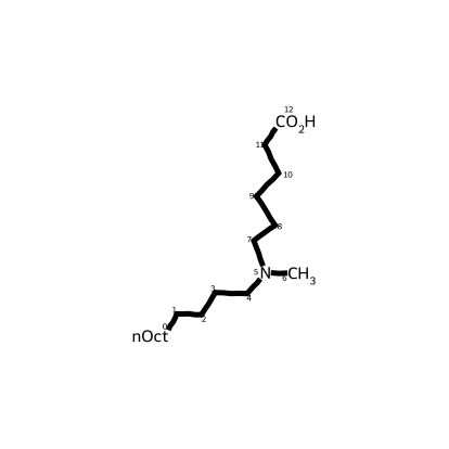 CCCCCCCCCCCCN(C)CCCCCC(=O)O